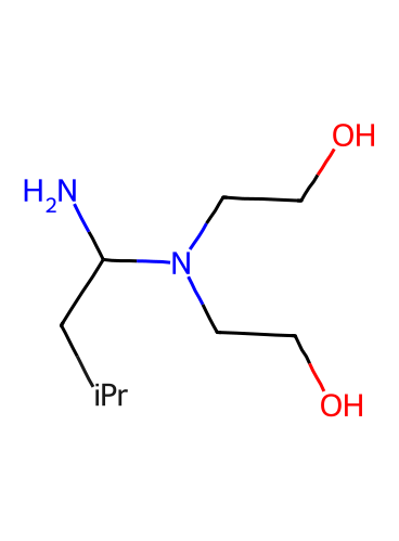 CC(C)CC(N)N(CCO)CCO